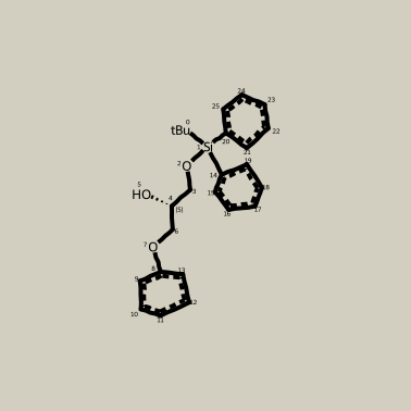 CC(C)(C)[Si](OC[C@@H](O)COc1ccccc1)(c1ccccc1)c1ccccc1